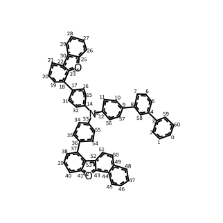 c1ccc(-c2cccc(-c3ccc(N(c4ccc(-c5cccc6c5oc5ccccc56)cc4)c4ccc(-c5cccc6oc7c8ccccc8ccc7c56)cc4)cc3)c2)cc1